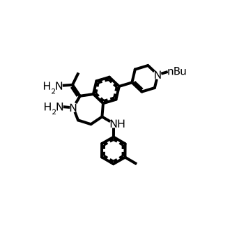 CCCCN1CC=C(c2ccc3c(c2)C(Nc2cccc(C)c2)CCN(N)/C3=C(/C)N)CC1